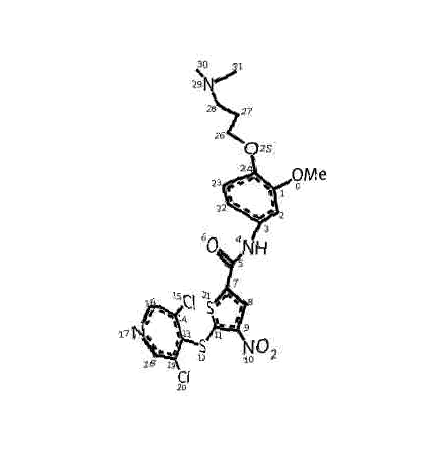 COc1cc(NC(=O)c2cc([N+](=O)[O-])c(Sc3c(Cl)cncc3Cl)s2)ccc1OCCCN(C)C